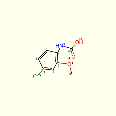 COc1cc(Cl)ccc1NC(=O)O